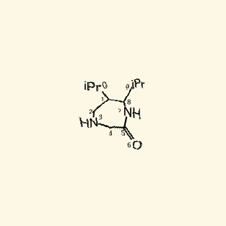 CC(C)C1CNCC(=O)NC1C(C)C